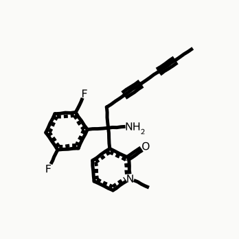 CC#CC#CCC(N)(c1cc(F)ccc1F)c1cccn(C)c1=O